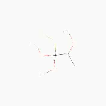 CC(C)OC(C)C(OC(C)C)(OC(C)C)SS